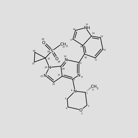 C[C@@H]1COCCN1c1nc(-c2cccc3[nH]ccc23)nc2c1cnn2C1(S(C)(=O)=O)CC1